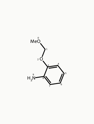 COCOc1ccccc1N